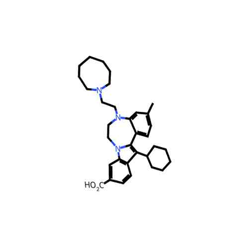 Cc1ccc2c(c1)N(CCN1CCCCCCC1)CCn1c-2c(C2CCCCC2)c2ccc(C(=O)O)cc21